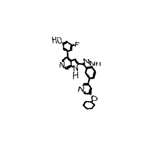 Oc1cc(F)cc(-c2cncc3[nH]c(-c4n[nH]c5ccc(-c6cncc(OC7CCCCC7)c6)cc45)cc23)c1